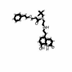 CC(C)(C)CN(CCNCCc1ccc(O)c2[nH]c(=O)ccc12)C(=O)CCOCCc1ccccc1